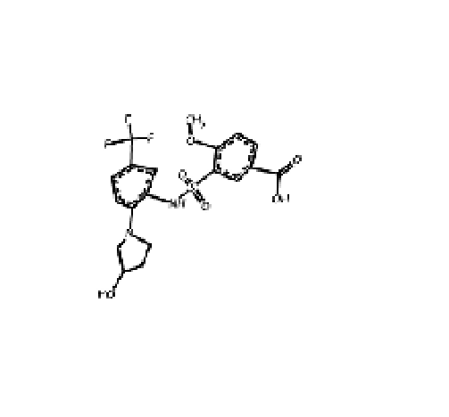 COc1ccc(C(=O)O)cc1S(=O)(=O)Nc1cc(C(F)(F)F)ccc1N1CCC(O)C1